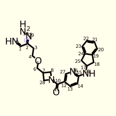 N=C/C(CCOCC1CN(C(=O)c2ccc(NC3Cc4ccccc4C3)nc2)C1)=N\N